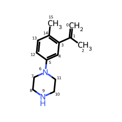 C=C(C)c1cc(N2CCNCC2)ccc1C